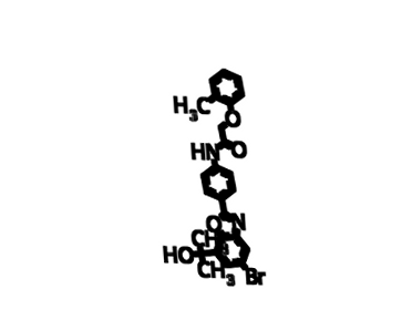 Cc1ccccc1OCC(=O)Nc1ccc(-c2nc3cc(Br)cc(C(C)(C)O)c3o2)cc1